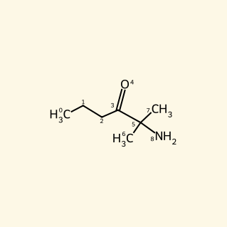 CCCC(=O)C(C)(C)N